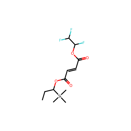 CCC(OC(=O)C=CC(=O)OC(F)C(F)F)[Si](C)(C)C